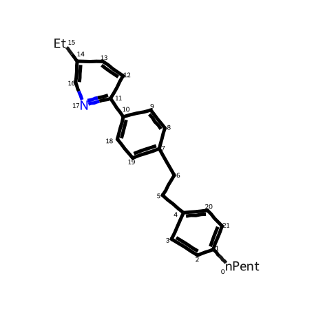 CCCCCc1ccc(CCc2ccc(-c3ccc(CC)cn3)cc2)cc1